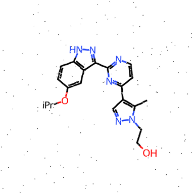 Cc1c(-c2ccnc(-c3n[nH]c4ccc(OC(C)C)cc34)n2)cnn1CCO